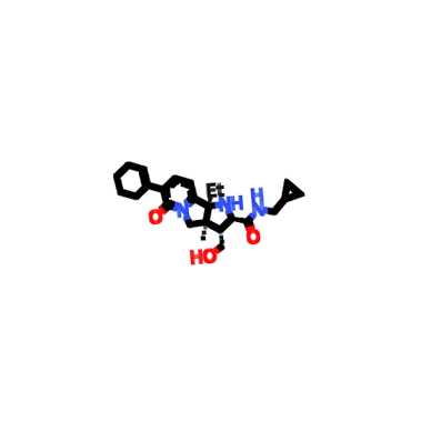 CC[C@]12N[C@@H](C(=O)NCC3CC3)[C@H](CO)[C@@]1(C)Cn1c2ccc(C2=CCCCC2)c1=O